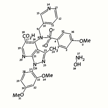 COc1ccc(S(=O)(=O)N(Cc2cccnc2)c2c(C(=O)O)cnc3c2c(C)nn3-c2ccc(OC)cc2OC)cc1.NO